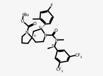 Cc1cc(F)ccc1[C@H]1C[C@]2(CCCN2C(=O)OC(C)(C)C)CCN1C(=O)N(C)[C@H](C)c1cc(C(F)(F)F)cc(C(F)(F)F)c1